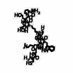 C[C@H](O)C(=O)N[C@@H](CCCCNC(=O)[C@H](CS)NC(=O)[C@H](Cc1c[nH]c2ccccc12)NC(=O)[C@H](CCCCN(C)C)NC(=O)CNC(=O)[C@@H](N)CS)C(=O)N[C@@H](CCO)C(=O)N1CCC[C@H]1C(N)=O